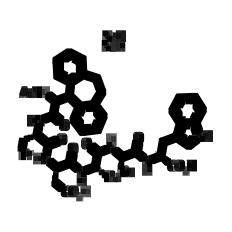 CCC(C)[C@H](NC(=O)[C@H](CC(=O)O)NC(=O)[C@H](CC(C)C)NC(=O)C(NC(C)=O)C1c2ccccc2CCc2ccccc21)C(=O)N[C@H](C(=O)N[C@@H](Cc1c[nH]c2ccccc12)C(=O)O)C(C)CC.[NaH].[NaH]